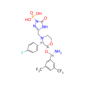 N[C@@H](O[C@H]1OCCN(Cc2nn(P(=O)(O)O)c(=O)[nH]2)[C@H]1c1ccc(F)cc1)c1cc(C(F)(F)F)cc(C(F)(F)F)c1